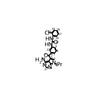 CC(C)n1cc(C(=O)c2cccc(NC(=O)Nc3ccccc3Cl)c2)c2c(N)ncnc21